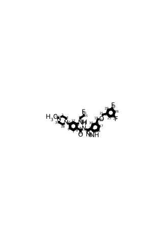 CN1CCN(c2ccc(C(=O)Nc3n[nH]c4ccc(COCc5cc(F)cc(F)c5)cc34)c(NCCF)c2)CC1